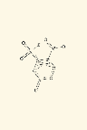 Cc1c([N+](=O)[O-])c2cc(S(=O)(=O)Cl)c1c(=O)o2